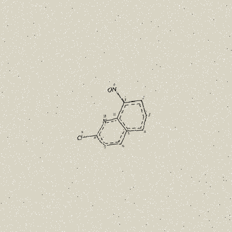 O=Nc1cccc2ccc(Cl)nc12